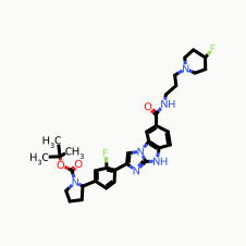 CC(C)(C)OC(=O)N1CCCC1c1ccc(-c2cn3c(n2)[nH]c2ccc(C(=O)NCCCN4CCC(F)CC4)cc23)c(F)c1